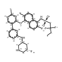 CCC(F)(F)CS(=O)(=O)Nc1c(F)ccc2c(Oc3nc(C)ncc3-c3ccnc(N[C@@H]4CNC[C@@H](F)C4)n3)c(C)ccc12